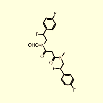 CN(CC(F)c1ccc(F)cc1)C(=O)CC(=O)N(C=O)CC(F)c1ccc(F)cc1